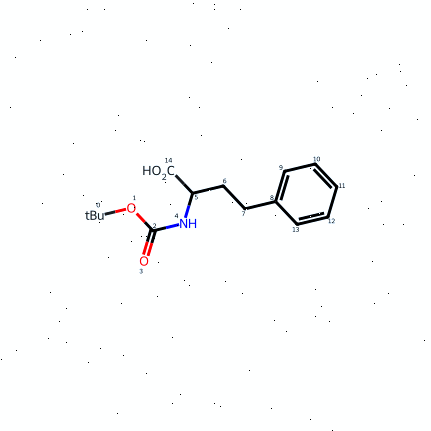 CC(C)(C)OC(=O)NC(CCc1ccccc1)C(=O)O